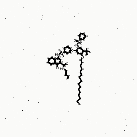 CCCCCCCCCCCCCCCCOc1cc(O)c(NS(=O)(=O)c2ccccc2)cc1C(C)(C)C.CCCCNC(=O)c1cc(NS(=O)(=O)c2ccccc2)c2ccccc2c1O